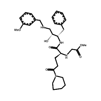 COC(=O)CN[C@@H](CCC(=O)N1CCCCC1)C(=O)N[C@@H](Cc1ccccc1)[C@H](O)CNCc1cccc(OC)c1